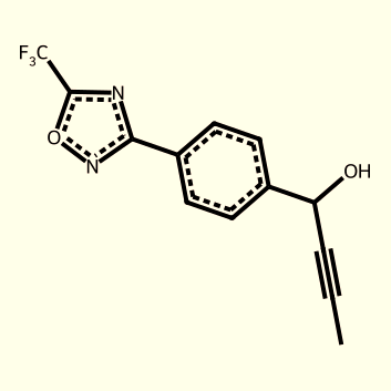 CC#CC(O)c1ccc(-c2noc(C(F)(F)F)n2)cc1